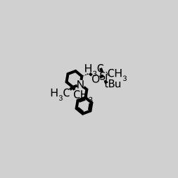 CC1(C)CCC[C@H](CO[Si](C)(C)C(C)(C)C)N1Cc1ccccc1